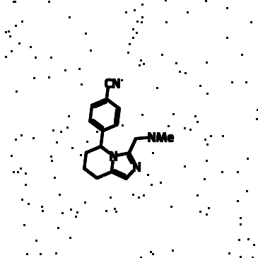 CNCc1ncc2n1C(c1ccc(C#N)cc1)CCC2